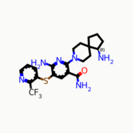 NC(=O)c1cc(Sc2cccnc2C(F)(F)F)c(N)nc1N1CCC2(CCC[C@H]2N)CC1